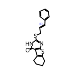 O=c1[nH]c(SC/C=C/c2ccccc2)nc2sc3c(c12)CCCC3